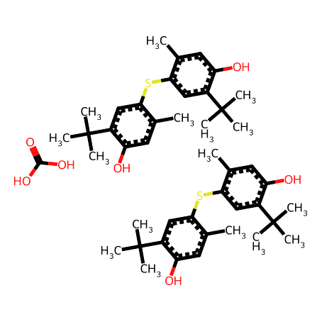 Cc1cc(O)c(C(C)(C)C)cc1Sc1cc(C(C)(C)C)c(O)cc1C.Cc1cc(O)c(C(C)(C)C)cc1Sc1cc(C(C)(C)C)c(O)cc1C.O=C(O)O